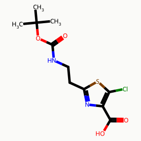 CC(C)(C)OC(=O)NCCc1nc(C(=O)O)c(Cl)s1